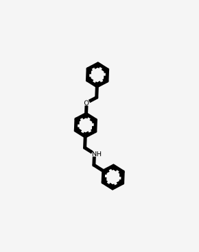 c1ccc(CNCc2ccc(OCc3ccccc3)cc2)cc1